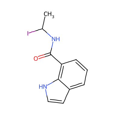 CC(I)NC(=O)c1cccc2cc[nH]c12